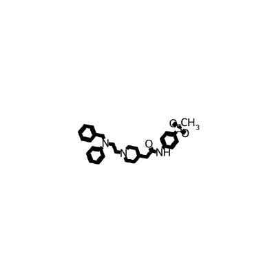 CS(=O)(=O)c1ccc(NC(=O)CC2CCN(CCN(Cc3ccccc3)c3ccccc3)CC2)cc1